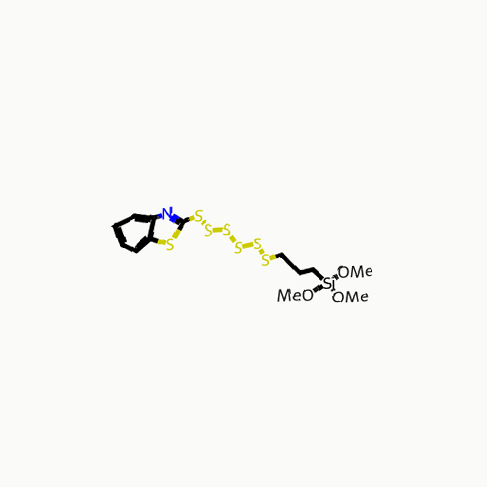 CO[Si](CCCSSSSSSc1nc2ccccc2s1)(OC)OC